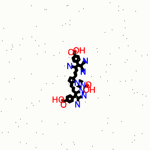 N#CC(C#N)=C(/C(C#N)=C/C=C/C1=C(N2CCN(C(=O)O)CC2)C(=C/C=C/C(C#N)=C(\c2ccc(C(=O)O)cc2)C(C#N)C#N)\CC1)c1ccc(C(=O)O)cc1